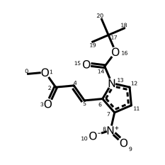 COC(=O)C=Cc1c([N+](=O)[O-])ccn1C(=O)OC(C)(C)C